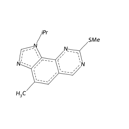 CSc1ncc2cc(C)c3ncn(C(C)C)c3c2n1